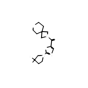 O=C(c1cnc(N2CCC(F)(F)C2)s1)N1CC2(CCOCC2)C1